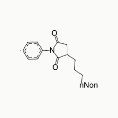 CCCCCCCCCCCCC1CC(=O)N(c2cc[c]cc2)C1=O